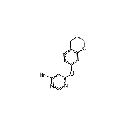 Brc1cc(Oc2ccc3c(c2)OCCC3)ncn1